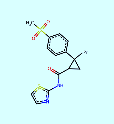 CC(C)C1(c2ccc(S(C)(=O)=O)cc2)CC1C(=O)Nc1nccs1